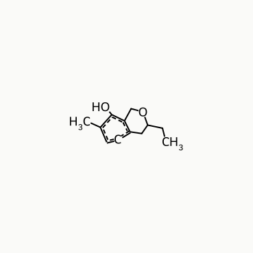 CCC1Cc2ccc(C)c(O)c2CO1